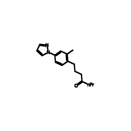 CCCC(=O)CCCc1ccc(-n2cccn2)cc1C